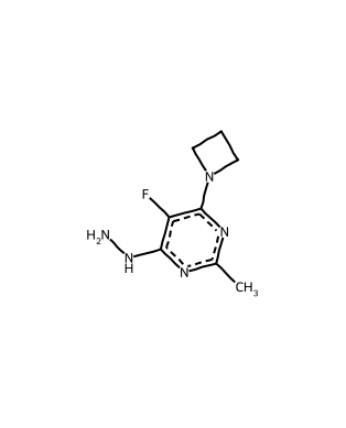 Cc1nc(NN)c(F)c(N2CCC2)n1